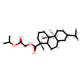 CC(C)OC(=O)COC(=O)[C@]1(C)CCC[C@@]2(C)C1CCC1CC(C(C)C)CC[C@@H]12